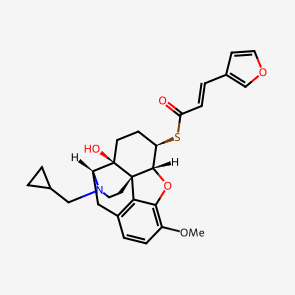 COc1ccc2c3c1O[C@H]1[C@H](SC(=O)/C=C/c4ccoc4)CC[C@@]4(O)[C@@H](C2)N(CC2CC2)CC[C@]314